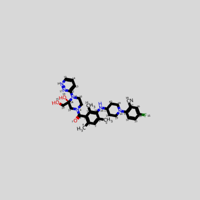 Cc1cc(C)c(C(=O)N2CCN(c3cccnn3)[C@@](O)(CO)C2)c(C)c1NC1CCN(c2ccc(F)cc2C#N)CC1